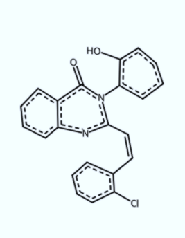 O=c1c2ccccc2nc(/C=C\c2ccccc2Cl)n1-c1ccccc1O